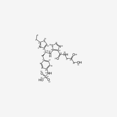 CCc1nc([C@H](Cc2ccc(NS(=O)(=O)O)cc2)Nc2scnc2C(=O)NCC(=O)CO)cs1